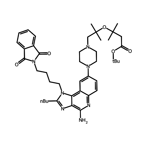 CCCCc1nc2c(N)nc3ccc(N4CCN(CC(C)(C)OC(C)(C)CC(=O)OC(C)(C)C)CC4)cc3c2n1CCCCN1C(=O)c2ccccc2C1=O